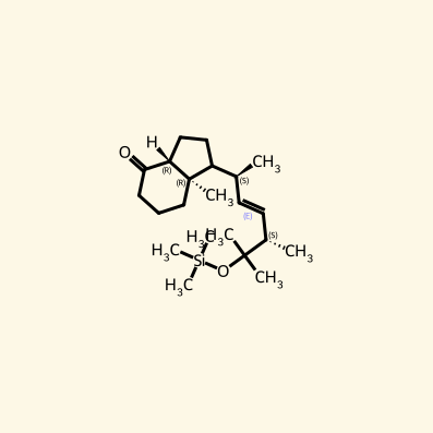 C[C@@H](/C=C/[C@H](C)C(C)(C)O[Si](C)(C)C)C1CC[C@H]2C(=O)CCC[C@]12C